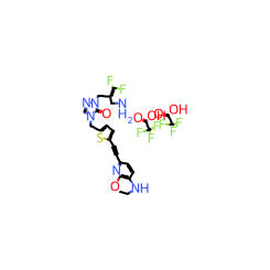 NCC(Cn1ncn(Cc2ccc(C#Cc3ccc4c(n3)OCCN4)s2)c1=O)=C(F)F.O=C(O)C(F)(F)F.O=C(O)C(F)(F)F